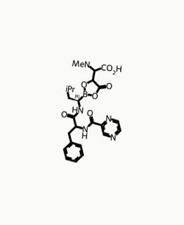 CNC(C(=O)O)C1OB([C@H](CC(C)C)NC(=O)C(Cc2ccccc2)NC(=O)c2cnccn2)OC1=O